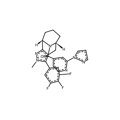 Cn1nc2c(c1-c1cc(F)c(F)c(F)c1)C[C@H]1CCC[C@@H]2N1C(=O)c1ccnc(-n2cccn2)c1